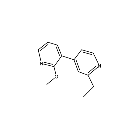 CCc1cc(-c2cccnc2OC)ccn1